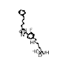 O=P(O)(O)CCCNCc1ccc(-c2noc(CCCCc3ccccc3)n2)c(F)c1